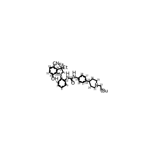 CCC1(CC)CN(c2ccccc2NC(=O)Nc2ccc(C3CCN(CC(C)(C)C)CC3)cc2)c2c(O)ccc(C#N)c21